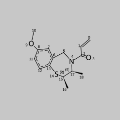 C=CC(=O)N1Cc2cc(OC)ccc2S[C@H](C)[C@@H]1C